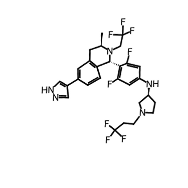 C[C@@H]1Cc2cc(-c3cn[nH]c3)ccc2[C@@H](c2c(F)cc(N[C@H]3CCN(CCC(F)(F)F)C3)cc2F)N1CC(F)(F)F